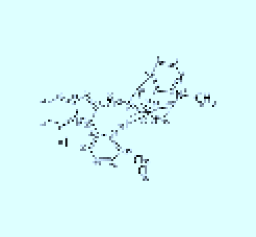 CN1c2ccc(cc2)C2[C]([Zr+2][C]3=Cc4cccc(I)c4C3c3ccccc3)=Cc3c1ccc(I)c32.[Cl-].[Cl-]